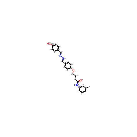 Cc1cccc(NC(=O)CCCOc2ccc(C=NN=Cc3ccc(O)cc3)cc2)c1